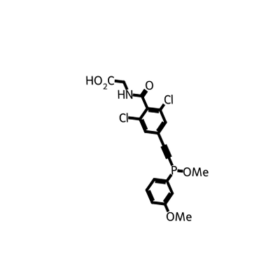 COc1cccc(P(C#Cc2cc(Cl)c(C(=O)NCC(=O)O)c(Cl)c2)OC)c1